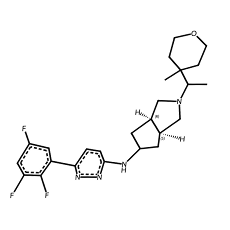 CC(N1C[C@H]2CC(Nc3ccc(-c4cc(F)cc(F)c4F)nn3)C[C@H]2C1)C1(C)CCOCC1